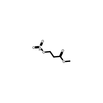 COC(=O)CCO[SH](=O)=O